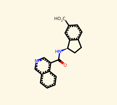 O=C(O)c1ccc2c(c1)[C@H](NC(=O)c1cncc3ccccc13)CC2